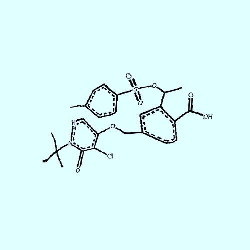 Cc1ccc(S(=O)(=O)OC(C)c2cc(COc3cnn(C(C)(C)C)c(=O)c3Cl)ccc2C(=O)O)cc1